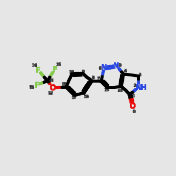 O=C1NCc2nnc(-c3ccc(OC(F)(F)F)cc3)cc21